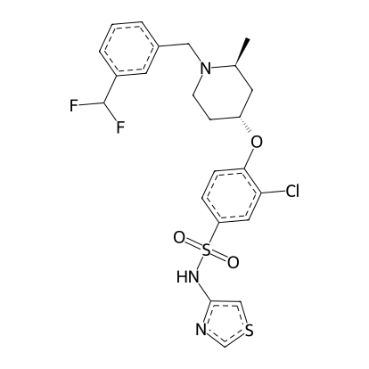 C[C@H]1C[C@H](Oc2ccc(S(=O)(=O)Nc3cscn3)cc2Cl)CCN1Cc1cccc(C(F)F)c1